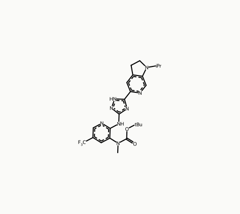 CC(C)N1CCc2cc(-c3nc(Nc4ncc(C(F)(F)F)cc4N(C)C(=O)OC(C)(C)C)n[nH]3)ncc21